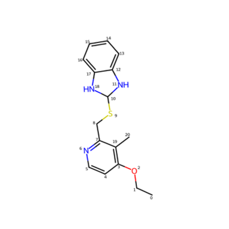 CCOc1ccnc(CSC2Nc3ccccc3N2)c1C